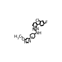 CCOc1cc(N2CCC(Nc3nc4c(-c5ccc(F)cc5Cl)cccn4n3)CC2)ncn1